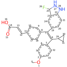 COc1ccc(/C(=C(\c2ccc(/C=C/C(=O)O)cc2)c2ccc3c(c2)C(F)NN3)C2CC2)cc1